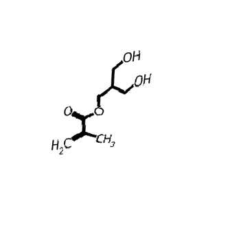 C=C(C)C(=O)OCC(CO)CO